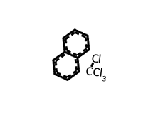 ClC(Cl)(Cl)Cl.c1ccc2ccccc2c1